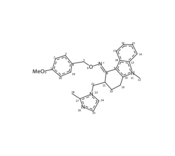 COc1ccc(CON=C2c3c(n(C)c4ccccc34)CCC2Cn2ccnc2C)cc1